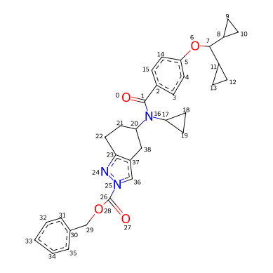 O=C(c1ccc(OC(C2CC2)C2CC2)cc1)N(C1CC1)C1CCc2nn(C(=O)OCc3ccccc3)cc2C1